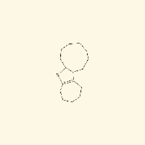 C1CCCC2SC3=C(CCCCC3)C2CCC1